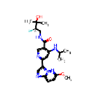 COc1ccc2ncc(-c3cc(NC(C)C)c(C(=O)NC[C@@H](F)C(C)(C)O)cn3)n2n1